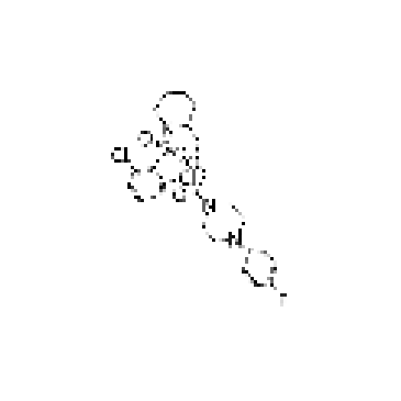 O=C(COCC1CCCCN1S(=O)(=O)c1c(Cl)cccc1Cl)N1CCN(c2ccc(F)cc2)CC1